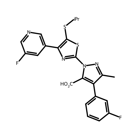 Cc1nn(-c2nc(-c3cncc(F)c3)c(SC(C)C)s2)c(C(=O)O)c1-c1cccc(F)c1